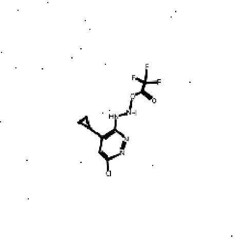 O=C(ONNc1nnc(Cl)cc1C1CC1)C(F)(F)F